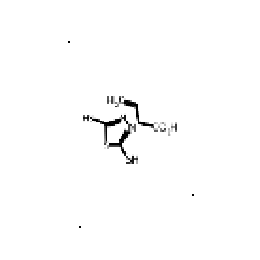 C=CCC(=O)O.Sc1nnc(S)s1